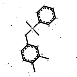 Cc1ccc(C[N+](C)(C)c2ccccc2)cc1C